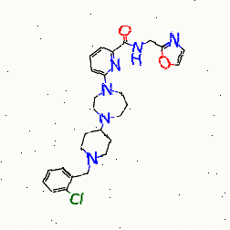 O=C(NCc1ncco1)c1cccc(N2CCCN(C3CCN(Cc4ccccc4Cl)CC3)CC2)n1